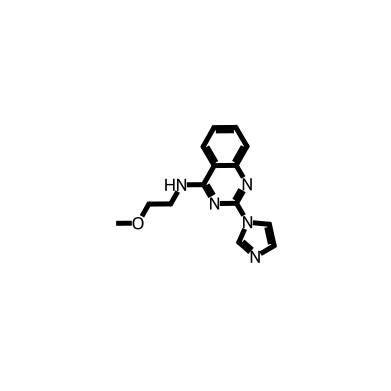 COCCNc1nc(-n2ccnc2)nc2ccccc12